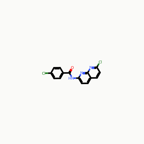 O=C(Nc1ccc2ccc(Cl)nc2n1)c1ccc(Cl)cc1